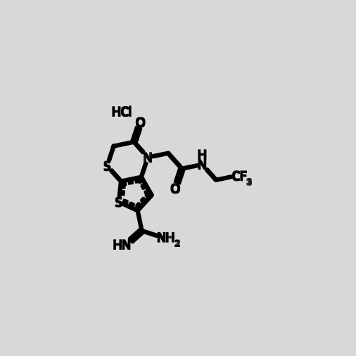 Cl.N=C(N)c1cc2c(s1)SCC(=O)N2CC(=O)NCC(F)(F)F